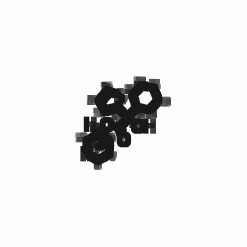 O=C(O[C@H]1CN2CCC1CC2)[C@](O)(c1cccs1)C1CCCCC1